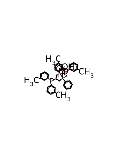 Cc1cccc(P(C[C@@]2(c3ccccc3)C[C@H](P(c3cccc(C)c3)c3cccc(C)c3)CN2S(=O)(=O)O)c2cccc(C)c2)c1